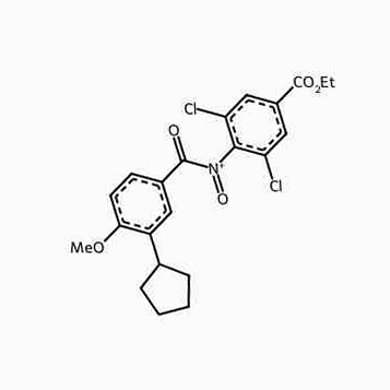 CCOC(=O)c1cc(Cl)c([N+](=O)C(=O)c2ccc(OC)c(C3CCCC3)c2)c(Cl)c1